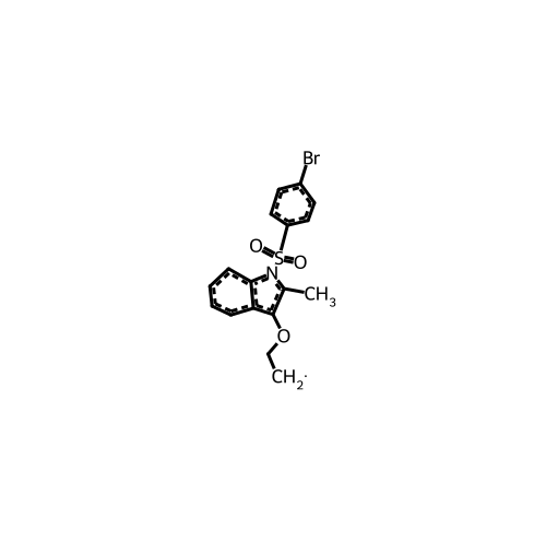 [CH2]COc1c(C)n(S(=O)(=O)c2ccc(Br)cc2)c2ccccc12